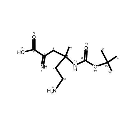 CC(CCN)(CC(=N)C(=O)O)NC(=O)OC(C)(C)C